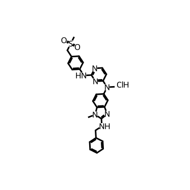 CN(c1ccc2c(c1)nc(NCc1ccccc1)n2C)c1ccnc(Nc2ccc(CS(C)(=O)=O)cc2)n1.Cl